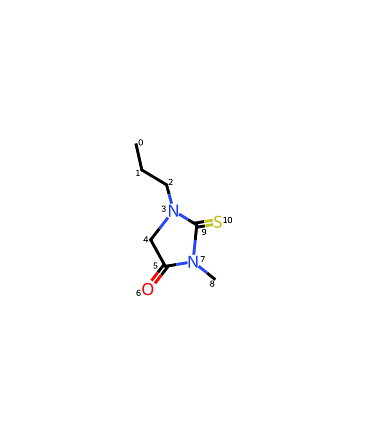 CCCN1CC(=O)N(C)C1=S